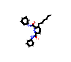 CCCCCCc1ccc(C(=O)Nc2ccccc2)nc1C(=O)Nc1ccccc1